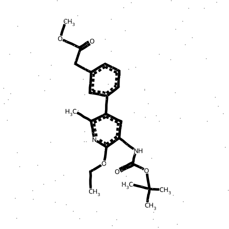 CCOc1nc(C)c(-c2cccc(CC(=O)OC)c2)cc1NC(=O)OC(C)(C)C